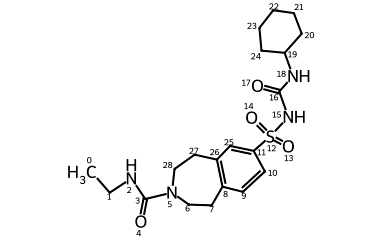 CCNC(=O)N1CCc2ccc(S(=O)(=O)NC(=O)NC3CCCCC3)cc2CC1